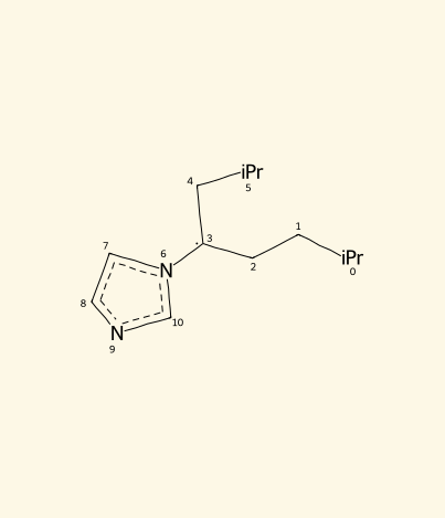 CC(C)CC[C](CC(C)C)n1ccnc1